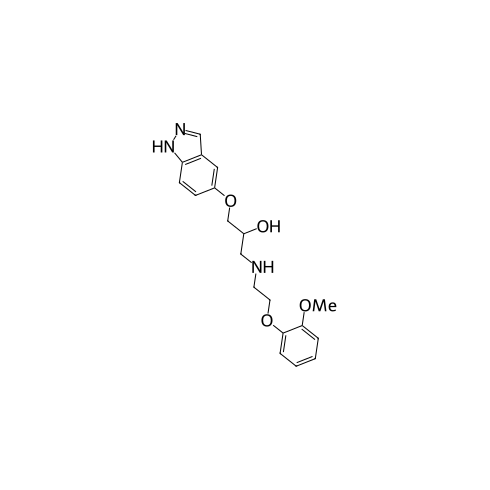 COc1ccccc1OCCNCC(O)COc1ccc2[nH]ncc2c1